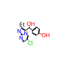 CCc1nc2ncc(Cl)cn2c1C(O)c1ccc(O)cc1